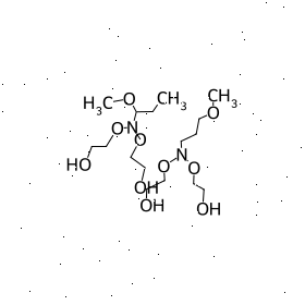 CCC(OC)N(OCCO)OCCO.COCCCN(OCCO)OCCO